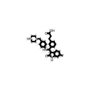 O=C(O)CCc1cccc(/C(Nc2ccc(CN3CCNCC3)cc2)=C2/C(=O)Nc3cc(F)ccc32)c1